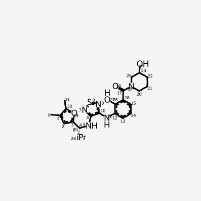 Cc1cc([C@H](Nc2nsnc2Nc2cccc(C(=O)N3CCCC(O)C3)c2O)C(C)C)oc1C